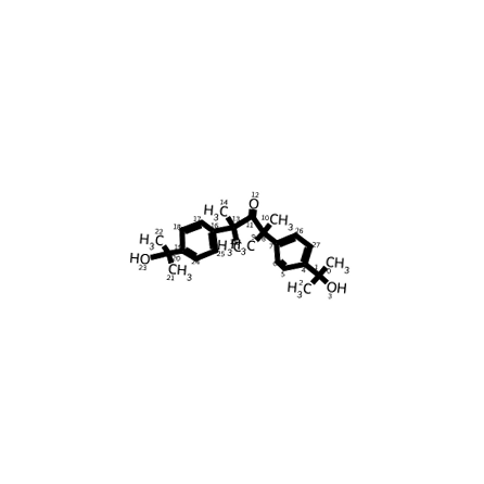 CC(C)(O)c1ccc(C(C)(C)C(=O)C(C)(C)c2ccc(C(C)(C)O)cc2)cc1